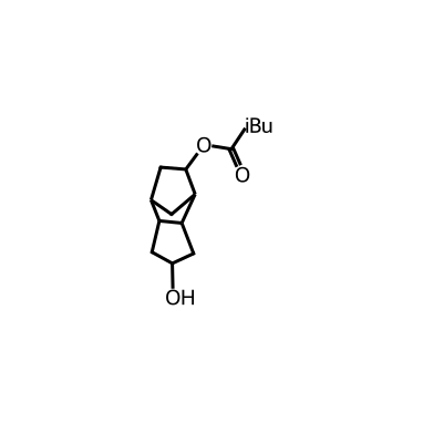 CCC(C)C(=O)OC1CC2CC1C1CC(O)CC21